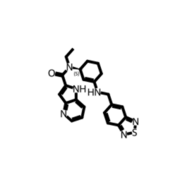 CCN(C(=O)c1cc2ncccc2[nH]1)[C@@H]1C=C(NCc2ccc3nsnc3c2)CCC1